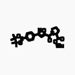 CC(C)(C)OC(=O)C1CCCN1C(=O)c1cc(-c2ccc(B3OC(C)(C)C(C)(C)O3)cc2)no1